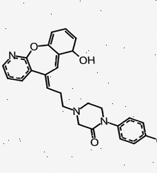 O=C1CN(CCC=C2C=C3C(=CC=CC3O)Oc3ncccc32)CCN1c1ccc(Cl)cc1